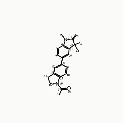 C=C1N(C)c2ccc(-c3ccc4c(c3)CCN4C(C)=O)cc2C1(C)C